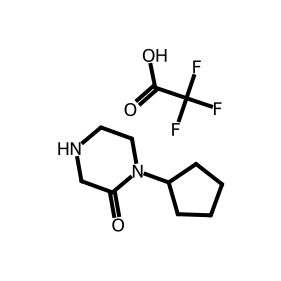 O=C(O)C(F)(F)F.O=C1CNCCN1C1CCCC1